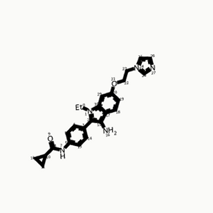 CCn1c(-c2ccc(NC(=O)C3CC3)cc2)c(N)c2ccc(OCCn3ccnc3)cc21